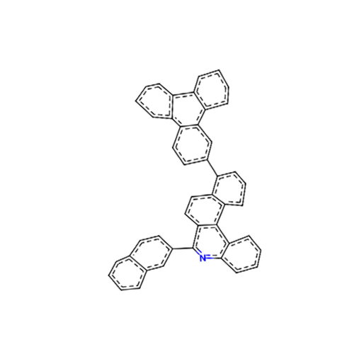 c1ccc2cc(-c3nc4ccccc4c4c3ccc3c(-c5ccc6c7ccccc7c7ccccc7c6c5)cccc34)ccc2c1